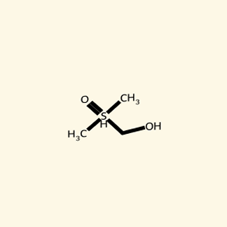 C[SH](C)(=O)CO